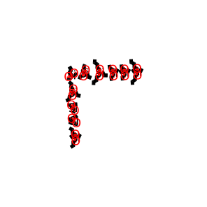 C=CC[Si](C)(OC)OC.C=CC[Si](C)(OCC)OCC.C=CC[Si](C)(OCCC)OCCC.C=CC[Si](C)(OCCCC)OCCCC.C=C[Si](C)(OC)OC.C=C[Si](C)(OCC)OCC.C=C[Si](C=C)(OC)OC.C=C[Si](C=C)(OCC)OCC.C=C[Si](C=C)(OCCC)OCCC.C=C[Si](C=C)(OCCCC)OCCCC